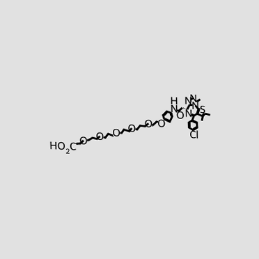 Cc1sc2c(c1C)C(c1ccc(Cl)cc1)=N[C@H](CC(=O)Nc1ccc(OCCOCCCOCCCOCCCOCCCOCCC(=O)O)cc1)c1nnc(C)n1-2